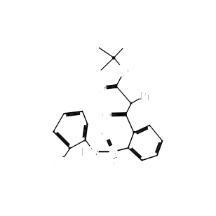 CC(C)(C)OC(=O)C(Br)C(=O)c1ccccc1S(=O)(=O)Nc1ccccc1Cl